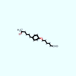 CC(Br)CCCCc1ccc(OCCCCC[C]=O)cc1